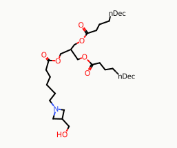 CCCCCCCCCCCCCC(=O)OCC(COC(=O)CCCCCCCCCCCCC)COC(=O)CCCCCN1CC(CO)C1